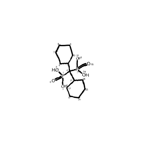 O=P(O)(O)C(C1CCCCC1)(C1CCCCC1)P(=O)(O)O